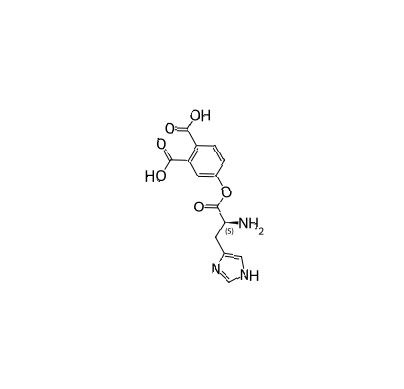 N[C@@H](Cc1c[nH]cn1)C(=O)Oc1ccc(C(=O)O)c(C(=O)O)c1